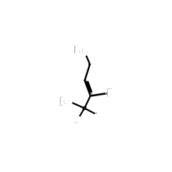 FC(=CCBr)C(F)(F)Br